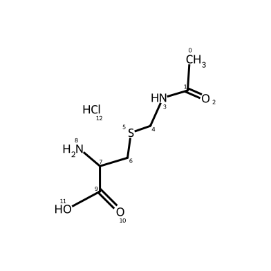 CC(=O)NCSCC(N)C(=O)O.Cl